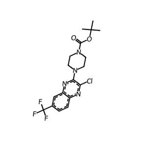 CC(C)(C)OC(=O)N1CCN(c2nc3cc(C(F)(F)F)ccc3nc2Cl)CC1